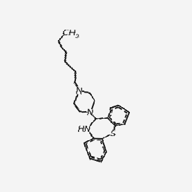 CCCCCCN1CCN(C2Nc3ccccc3Sc3ccccc32)CC1